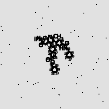 Cc1nc(C)c(-c2ccc(C(=O)NCc3ccccc3)cc2)c(N2CCC3(CCN(C(=O)OCc4ccccc4)C3)CC2)c1CC(=O)OC(C)C